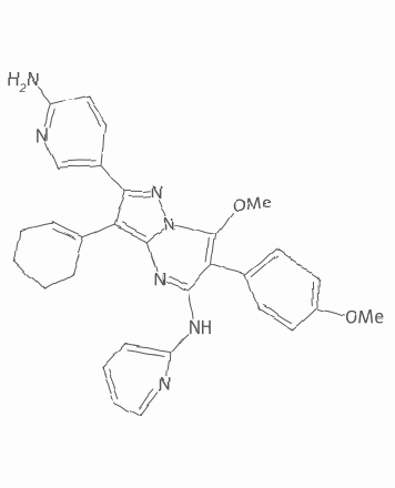 COc1ccc(-c2c(Nc3ccccn3)nc3c(C4=CCCCC4)c(-c4ccc(N)nc4)nn3c2OC)cc1